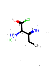 CCC(=N)C(N)C(=O)Cl.Cl